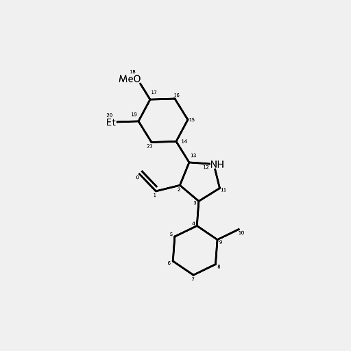 C=CC1C(C2CCCCC2C)CNC1C1CCC(OC)C(CC)C1